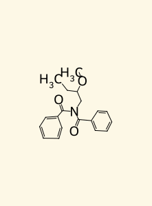 CCC(CN(C(=O)c1ccccc1)C(=O)c1ccccc1)OC